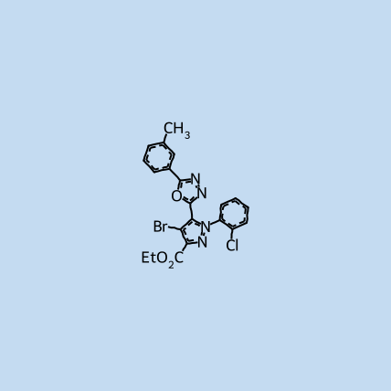 CCOC(=O)c1nn(-c2ccccc2Cl)c(-c2nnc(-c3cccc(C)c3)o2)c1Br